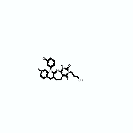 Cn1c2c(c(=O)n(CCCO)c1=O)CCC(Cc1ccc(F)cc1)C(Oc1cccc(Cl)c1)=N2